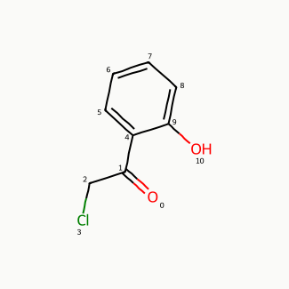 O=C(CCl)c1ccccc1O